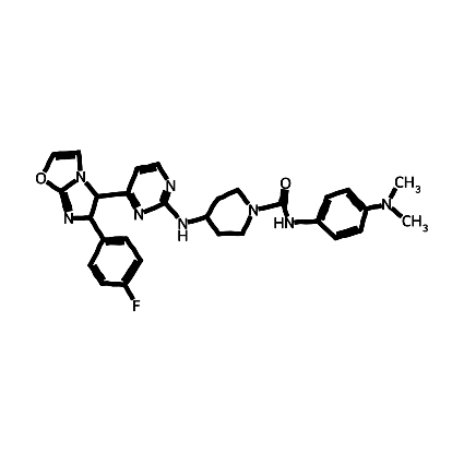 CN(C)c1ccc(NC(=O)N2CCC(Nc3nccc(C4C(c5ccc(F)cc5)N=C5OC=CN54)n3)CC2)cc1